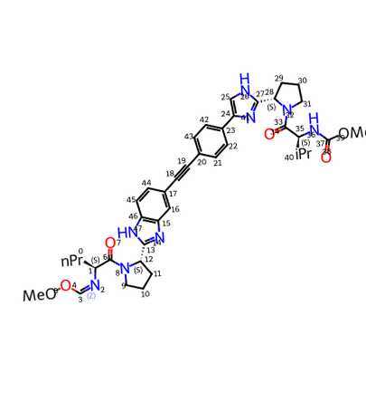 CCC[C@H](/N=C\OOC)C(=O)N1CCC[C@H]1c1nc2cc(C#Cc3ccc(-c4c[nH]c([C@@H]5CCCN5C(=O)[C@@H](NC(=O)OC)C(C)C)n4)cc3)ccc2[nH]1